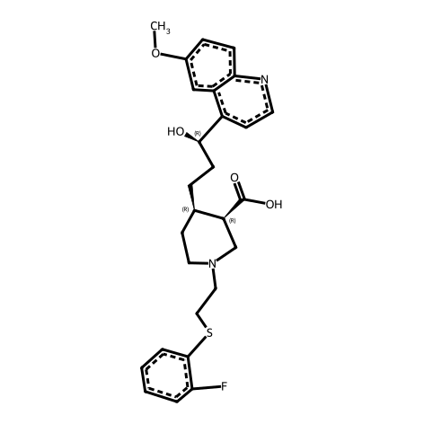 COc1ccc2nccc([C@H](O)CC[C@@H]3CCN(CCSc4ccccc4F)C[C@@H]3C(=O)O)c2c1